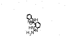 Nc1nc2cccc(C(=O)Nc3ccccc3N)c2[nH]1